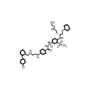 CS(=O)(=O)c1cc(S(=O)(=O)NC(=O)c2ccc(NCCNCc3ccccc3-c3ccc(Cl)cc3)cc2)ccc1N[C@H](CCNCCO)CSc1ccccc1